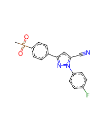 CS(=O)(=O)c1ccc(-c2cc(C#N)n(-c3ccc(F)cc3)n2)cc1